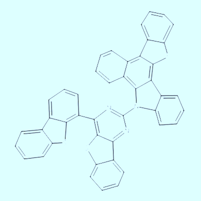 c1ccc2c(c1)sc1c(-c3nc(-n4c5ccccc5c5c6sc7ccccc7c6c6ccccc6c54)nc4c3sc3ccccc34)cccc12